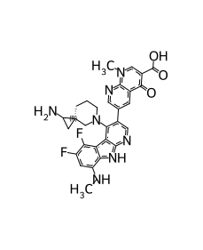 CNc1cc(F)c(F)c2c1[nH]c1ncc(-c3cnc4c(c3)c(=O)c(C(=O)O)cn4C)c(N3CCC[C@@]4(CC4N)C3)c12